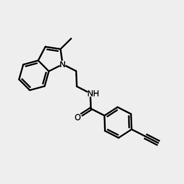 C#Cc1ccc(C(=O)NCCn2c(C)cc3ccccc32)cc1